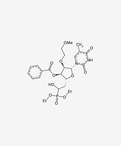 CCOP(=O)(OCC)C(O)C[C@H]1O[C@@H](n2cc(C)c(=O)[nH]c2=O)[C@H](OCCOC)[C@@H]1OC(=O)c1ccccc1